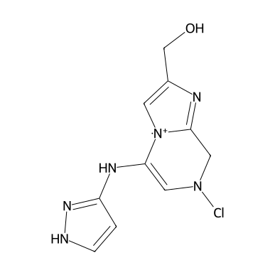 OCC1=C[N+]2C(Nc3cc[nH]n3)=CN(Cl)CC2=N1